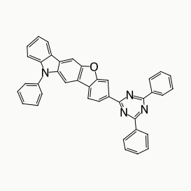 c1ccc(-c2nc(-c3ccccc3)nc(-c3ccc4c(c3)oc3cc5c6ccccc6n(-c6ccccc6)c5cc34)n2)cc1